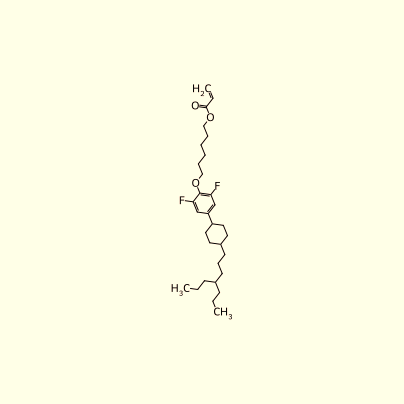 C=CC(=O)OCCCCCCOc1c(F)cc(C2CCC(CCCC(CCC)CCC)CC2)cc1F